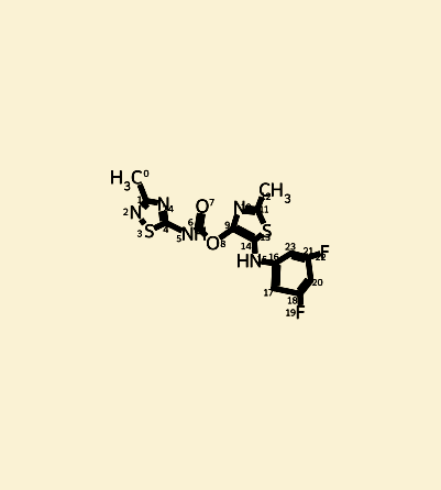 Cc1nsc(NC(=O)Oc2nc(C)sc2Nc2cc(F)cc(F)c2)n1